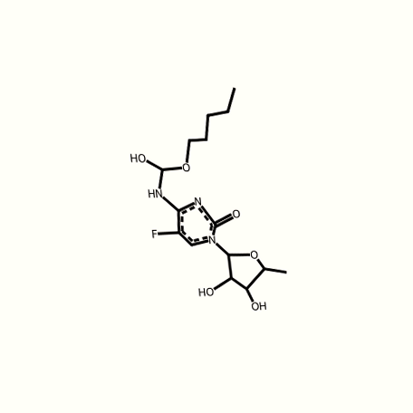 CCCCCOC(O)Nc1nc(=O)n(C2OC(C)C(O)C2O)cc1F